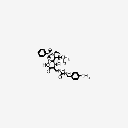 Cc1ccc(CNC(=O)NCC(NC(=O)C2N(S(=O)(=O)c3ccccc3)CSC2(C)C)C(=O)O)cc1